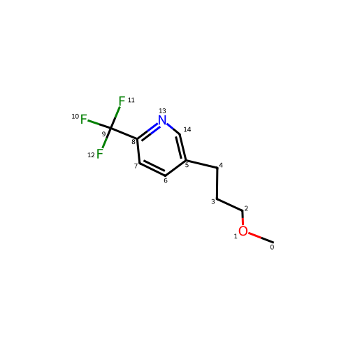 COCCCc1ccc(C(F)(F)F)nc1